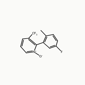 Cc1ccc(F)cc1-c1c(C(F)(F)F)ccc[n+]1[O-]